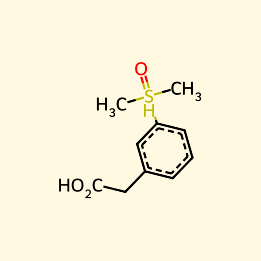 C[SH](C)(=O)c1cccc(CC(=O)O)c1